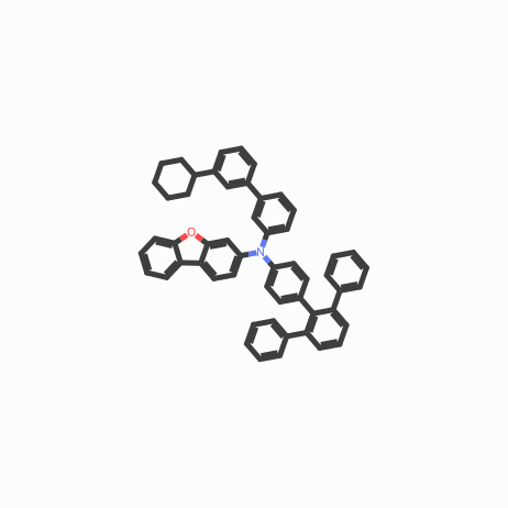 c1ccc(-c2cccc(-c3ccccc3)c2-c2ccc(N(c3cccc(-c4cccc(C5CCCCC5)c4)c3)c3ccc4c(c3)oc3ccccc34)cc2)cc1